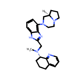 CN(Cc1nc2c(N3CCN4CCC[C@@H]4C3)cccc2[nH]1)[C@H]1CCCc2cccnc21